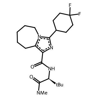 CNC(=O)[C@@H](NC(=O)c1nc(C2CCC(F)(F)CC2)n2c1CCCCC2)C(C)(C)C